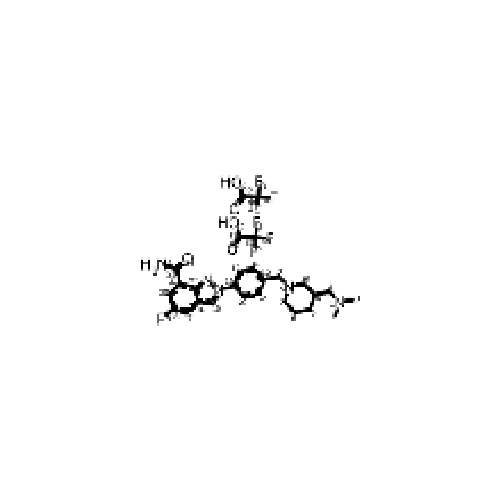 CN(C)CC1CCCN(Cc2ccc(-n3cc4cc(F)cc(C(N)=O)c4n3)cc2)C1.O=C(O)C(F)(F)F.O=C(O)C(F)(F)F